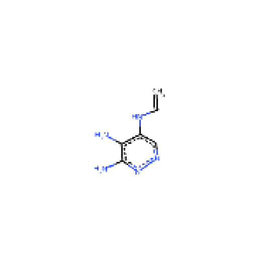 C=CNc1cnnc(N)c1N